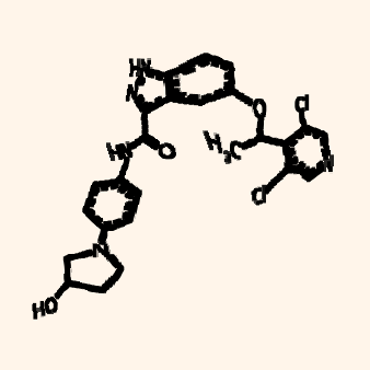 CC(Oc1ccc2[nH]nc(C(=O)Nc3ccc(N4CCC(O)C4)cc3)c2c1)c1c(Cl)cncc1Cl